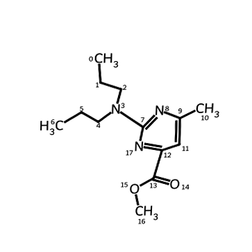 CCCN(CCC)c1nc(C)cc(C(=O)OC)n1